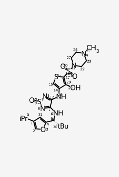 CC(C)c1coc([C@H](Nc2n[s+]([O-])nc2Nc2csc(S(=O)(=O)N3CCN(C)CC3)c2O)C(C)(C)C)c1